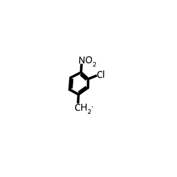 [CH2]c1ccc([N+](=O)[O-])c(Cl)c1